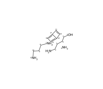 N.NCCCCO.NCCCN.c1cc2ccc1-2